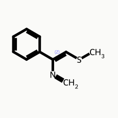 C=N/C(=C\SC)c1ccccc1